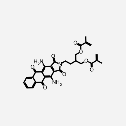 C=C(C)C(=O)OCC(CCn1c(=O)c2c(N)c3c(=O)c4ccccc4c(=O)c3c(N)c2c1=O)COC(=O)C(=C)C